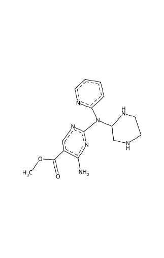 COC(=O)c1cnc(N(c2ccccn2)C2CNCCN2)nc1N